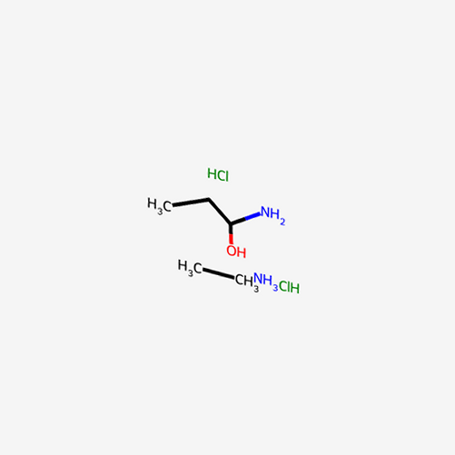 CC.CCC(N)O.Cl.Cl.N